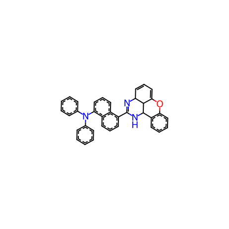 C1=CC2N=C(c3cccc4c(N(c5ccccc5)c5ccccc5)cccc34)NC3c4ccccc4OC(=C1)C23